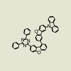 c1ccc(-c2nc(-c3ccccc3)nc(-c3ccc4oc5cccc(-c6ccc7oc8ccc(-n9c%10ccccc%10c%10ccccc%109)cc8c7c6)c5c4c3)n2)cc1